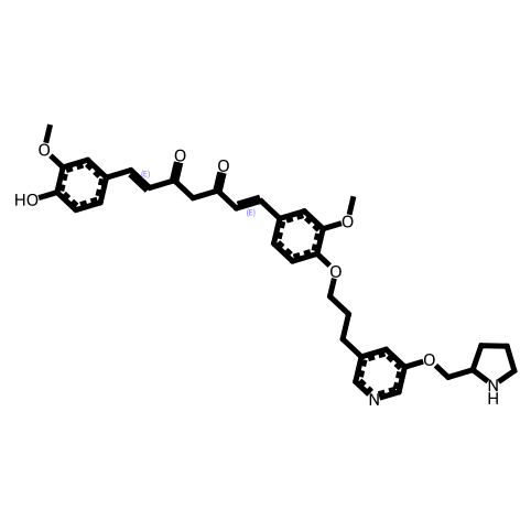 COc1cc(/C=C/C(=O)CC(=O)/C=C/c2ccc(OCCCc3cncc(OCC4CCCN4)c3)c(OC)c2)ccc1O